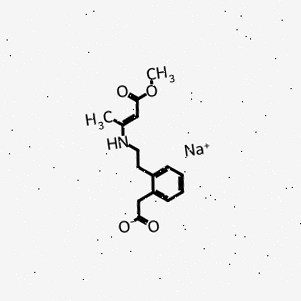 COC(=O)C=C(C)NCCc1ccccc1CC(=O)[O-].[Na+]